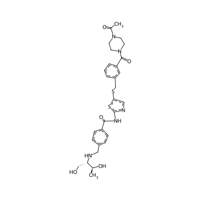 CC(=O)N1CCN(C(=O)c2cccc(CSc3cnc(NC(=O)c4ccc(CN[C@@H](CO)[C@H](C)O)cc4)s3)c2)CC1